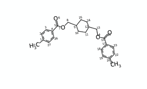 Cc1ccc(C(=O)OCC2CCC(COC(=O)c3ccc(C)cc3)CC2)cc1